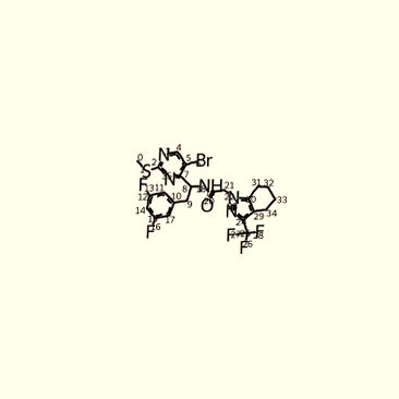 CSc1ncc(Br)c(C(Cc2cc(F)cc(F)c2)NC(=O)Cn2nc(C(F)(F)F)c3c2CCCC3)n1